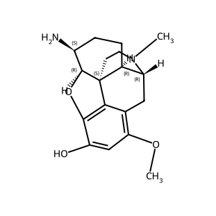 COc1cc(O)c2c3c1C[C@@H]1[C@@H]4CC[C@H](N)[C@H](O2)[C@]34CCN1C